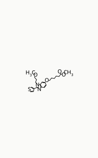 COCCCn1c(-c2ccsc2)nc2ccc(OCCCCCC(=O)OC)cc21